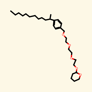 CCCCCCCCCCC(C)c1ccc(COCCOCCOCCOC2CCCCO2)cc1